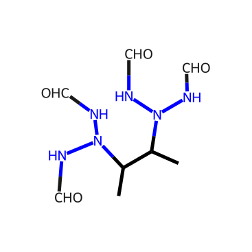 CC(C(C)N(NC=O)NC=O)N(NC=O)NC=O